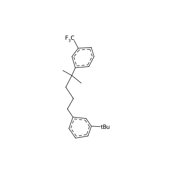 CC(C)(C)c1cccc(CCCC(C)(C)c2cccc(C(F)(F)F)c2)c1